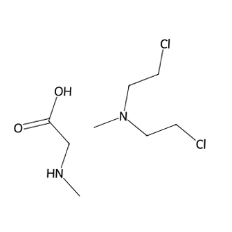 CN(CCCl)CCCl.CNCC(=O)O